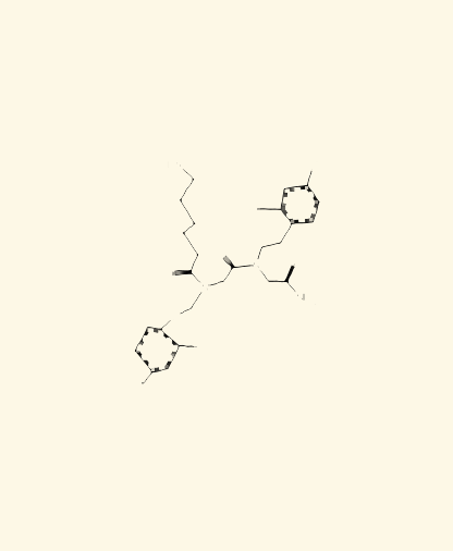 NCCCCCC(=O)N(CCc1ccc(Cl)cc1Cl)CC(=O)N(CCc1ccc(Cl)cc1Cl)CC(N)=O